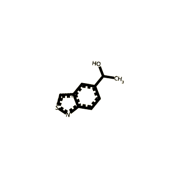 CC(O)c1ccc2nscc2c1